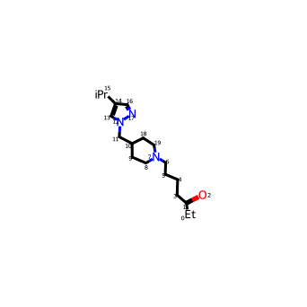 CCC(=O)CCCCN1CCC(Cn2cc(C(C)C)cn2)CC1